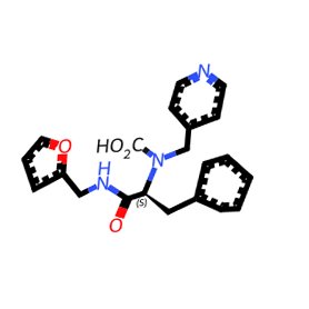 O=C(NCc1ccco1)[C@H](Cc1ccccc1)N(Cc1ccncc1)C(=O)O